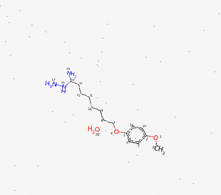 COc1ccc(OCCCCCCCC(N)NN)cc1.O